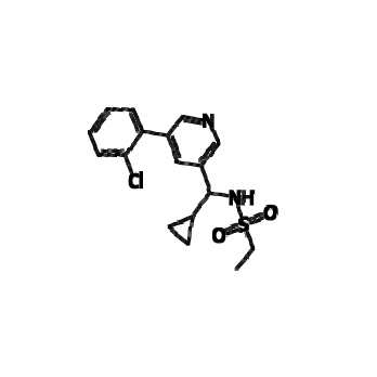 CCS(=O)(=O)NC(c1cncc(-c2ccccc2Cl)c1)C1CC1